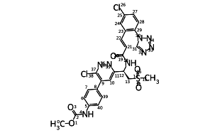 COC(=O)Nc1ccc(-c2cc([C@H](CS(C)(=O)=O)NC(=O)/C=C/c3cc(Cl)ccc3-n3cnnn3)nnc2Cl)cc1